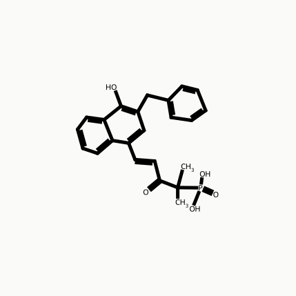 CC(C)(C(=O)C=Cc1cc(Cc2ccccc2)c(O)c2ccccc12)P(=O)(O)O